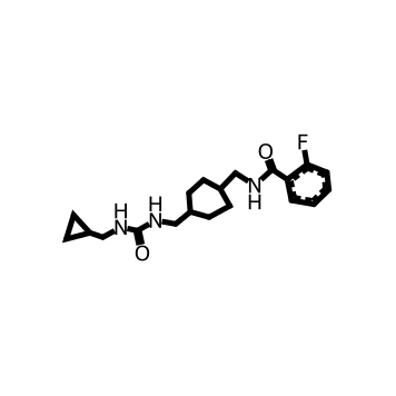 O=C(NCC1CC1)NCC1CCC(CNC(=O)c2ccccc2F)CC1